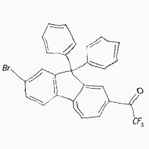 O=C(c1ccc2c(c1)C(c1ccccc1)(c1ccccc1)c1cc(Br)ccc1-2)C(F)(F)F